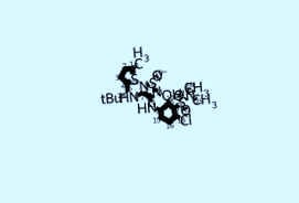 Cc1ccc([C@H](Nc2n[s+]([O-])nc2Nc2ccc(Cl)c(S(=O)(=O)N(C)C)c2O)C(C)(C)C)s1